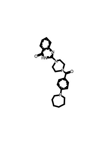 O=C(c1ccc(N2CCCCCC2)cc1)N1CCN(c2nc3ccccc3c(=O)[nH]2)CC1